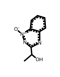 CC(O)c1nc2ccccc2[n+]([O-])n1